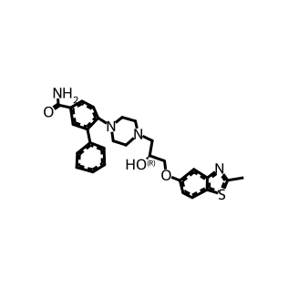 Cc1nc2cc(OC[C@H](O)CN3CCN(c4ccc(C(N)=O)cc4-c4ccccc4)CC3)ccc2s1